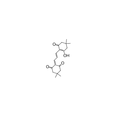 CC1(C)CC(=O)C(=C/C=C/C2=C(O)CC(C)(C)CC2=O)C(=O)C1